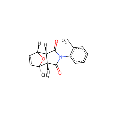 C[C@]12C=C[C@@H](O1)[C@@H]1C(=O)N(c3ccccc3[N+](=O)[O-])C(=O)[C@@H]12